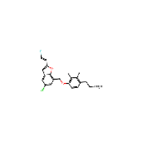 Cc1c(CCC(=O)O)ccc(OCc2cc(Cl)cc3cc(/C=C/F)oc23)c1C